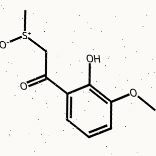 COc1cccc(C(=O)C[S+](C)[O-])c1O